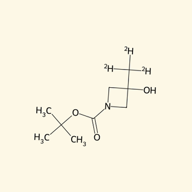 [2H]C([2H])([2H])C1(O)CN(C(=O)OC(C)(C)C)C1